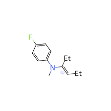 CC/C=C(\CC)N(C)c1ccc(F)cc1